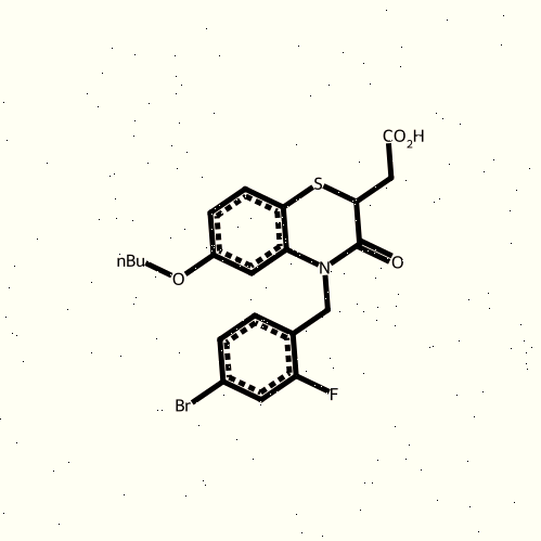 CCCCOc1ccc2c(c1)N(Cc1ccc(Br)cc1F)C(=O)C(CC(=O)O)S2